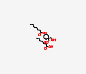 CCCCCCC(=O)O.CCCCCCC(=O)O.OCC1(CO)CCCCC1